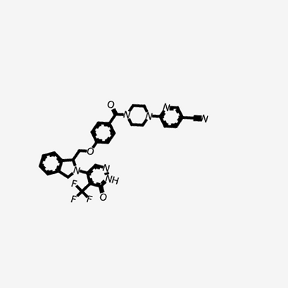 N#Cc1ccc(N2CCN(C(=O)c3ccc(OCC4c5ccccc5CN4c4cn[nH]c(=O)c4C(F)(F)F)cc3)CC2)nc1